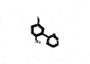 Cc1ccc(F)cc1-c1ccccn1